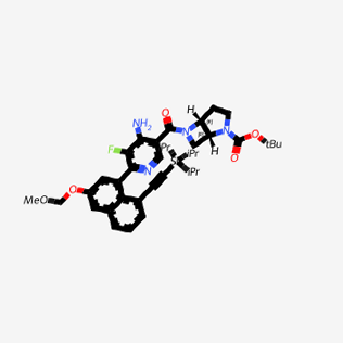 COCOc1cc(-c2ncc(C(=O)N3C[C@@H]4[C@H]3CCN4C(=O)OC(C)(C)C)c(N)c2F)c2c(C#C[Si](C(C)C)(C(C)C)C(C)C)cccc2c1